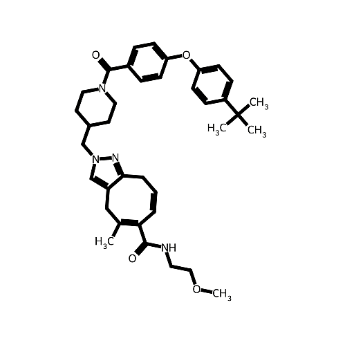 COCCNC(=O)C1=C(\C)Cc2cn(CC3CCN(C(=O)c4ccc(Oc5ccc(C(C)(C)C)cc5)cc4)CC3)nc2C/C=C\1